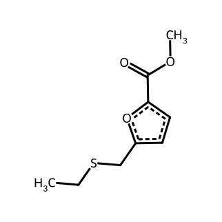 CCSCc1ccc(C(=O)OC)o1